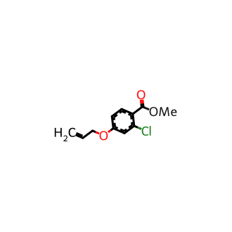 C=CCOc1ccc(C(=O)OC)c(Cl)c1